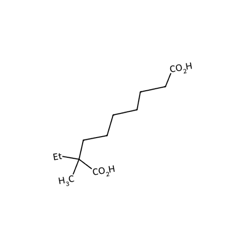 CCC(C)(CCCCCCC(=O)O)C(=O)O